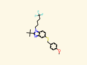 COc1ccc(CSc2ccc3c(c2)nc(C(C)(C)C)n3CCCCC(F)(F)F)cc1